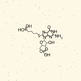 Nc1nc2c(nc(SCCCCB(O)O)n2C2OC3COP(O)OC3C2O)c(=O)[nH]1